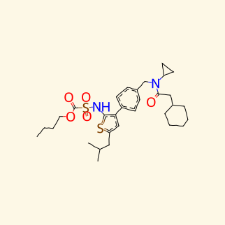 CCCCOC(=O)S(=O)(=O)Nc1sc(CC(C)C)cc1-c1ccc(CN(C(=O)CC2CCCCC2)C2CC2)cc1